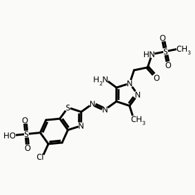 Cc1nn(CC(=O)NS(C)(=O)=O)c(N)c1N=Nc1nc2cc(Cl)c(S(=O)(=O)O)cc2s1